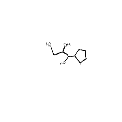 OCC(O)C(O)C1[CH]CCC1